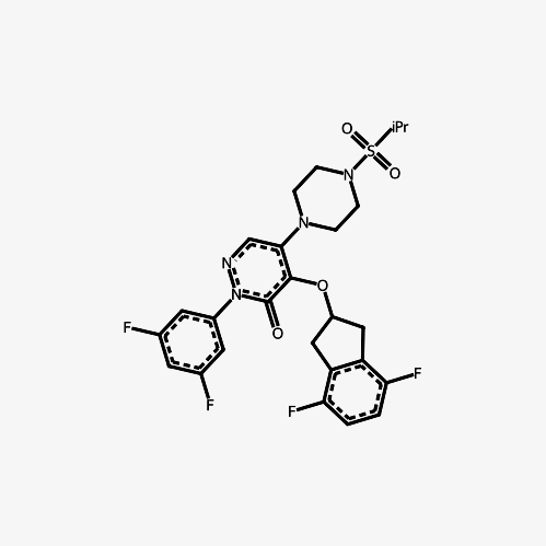 CC(C)S(=O)(=O)N1CCN(c2cnn(-c3cc(F)cc(F)c3)c(=O)c2OC2Cc3c(F)ccc(F)c3C2)CC1